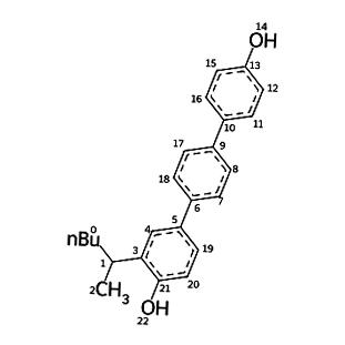 CCCCC(C)c1cc(-c2ccc(-c3ccc(O)cc3)cc2)ccc1O